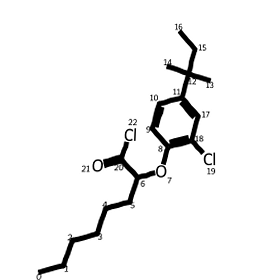 CCCCCCC(Oc1ccc(C(C)(C)CC)cc1Cl)C(=O)Cl